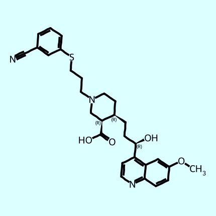 COc1ccc2nccc([C@H](O)CC[C@@H]3CCN(CCCSc4cccc(C#N)c4)C[C@@H]3C(=O)O)c2c1